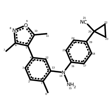 Cc1ccc(-c2c(C)noc2C)cc1N(N)c1ccc(C2(C#N)CC2)cc1